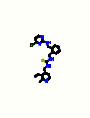 C=Cc1c(CNC(=S)NCc2ccccc2CNc2nccc(Cl)n2)ccnc1C